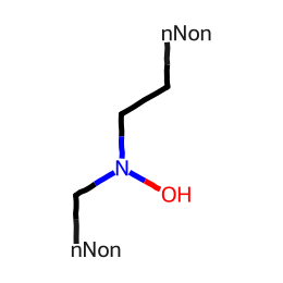 CCCCCCCCCCCN(O)CCCCCCCCCC